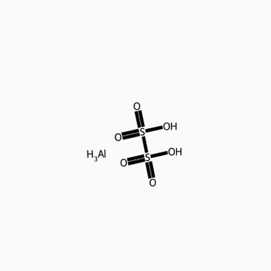 O=S(=O)(O)S(=O)(=O)O.[AlH3]